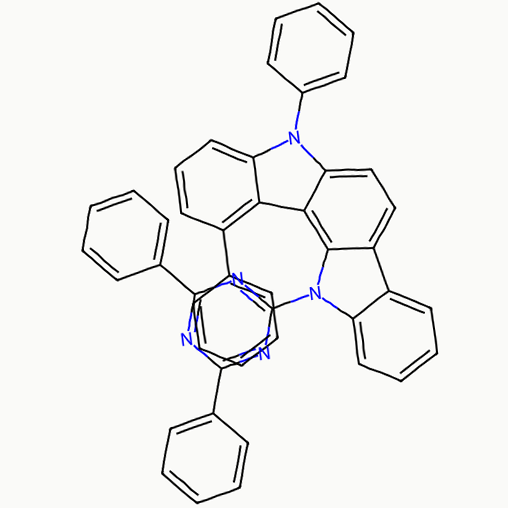 c1ccc(-c2nc(-c3ccccc3)nc(-n3c4ccccc4c4ccc5c(c6c(-c7ccccc7)cccc6n5-c5ccccc5)c43)n2)cc1